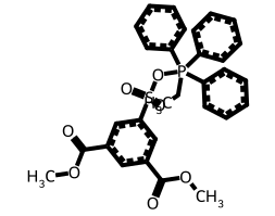 CCP(OS(=O)(=O)c1cc(C(=O)OC)cc(C(=O)OC)c1)(c1ccccc1)(c1ccccc1)c1ccccc1